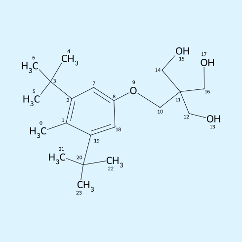 Cc1c(C(C)(C)C)cc(OCC(CO)(CO)CO)cc1C(C)(C)C